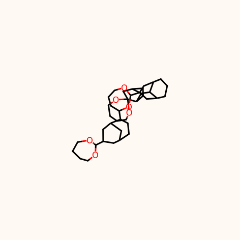 C1CCOC(C2CC3CCC(C4CCCOC(C5CC6CCCC(C5)C6C5C6CCC5C5(C6)OCCCCO5)O4)C(C3)C2)OC1